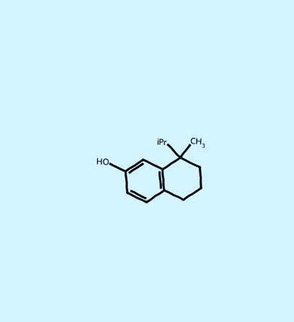 CC(C)C1(C)CCCc2ccc(O)cc21